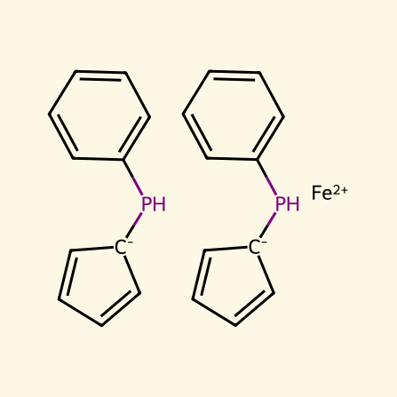 [Fe+2].c1ccc(P[c-]2cccc2)cc1.c1ccc(P[c-]2cccc2)cc1